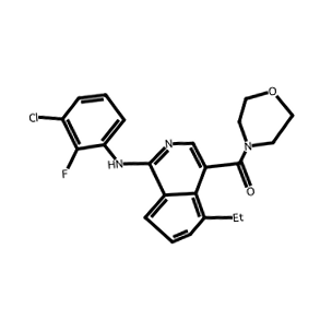 CCc1cccc2c(Nc3cccc(Cl)c3F)ncc(C(=O)N3CCOCC3)c12